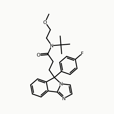 COCCN(C(=O)CCC1(c2ccc(F)cc2)c2ccccc2-c2nccn21)C(C)(C)C